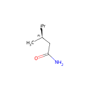 CC(C)[C@H](C)CC(N)=O